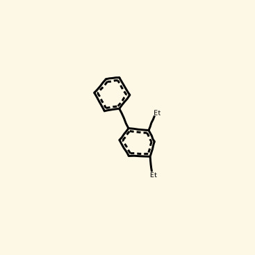 CCc1ccc(-c2ccccc2)c(CC)c1